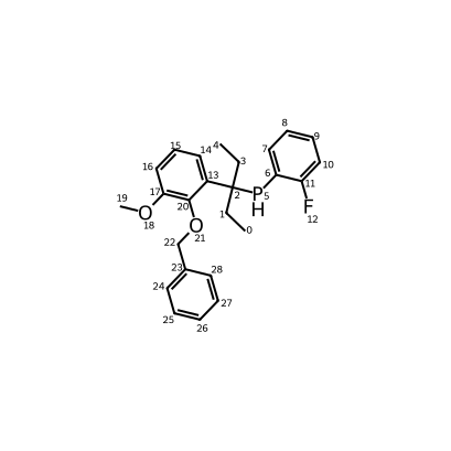 CCC(CC)(Pc1ccccc1F)c1cccc(OC)c1OCc1ccccc1